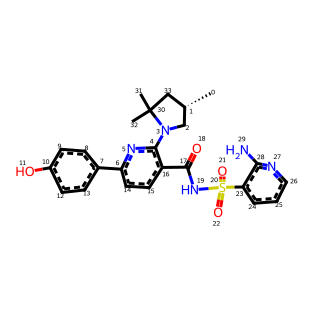 C[C@@H]1CN(c2nc(-c3ccc(O)cc3)ccc2C(=O)NS(=O)(=O)c2cccnc2N)C(C)(C)C1